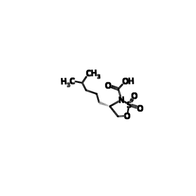 CC(C)CCC[C@H]1COS(=O)(=O)N1C(=O)O